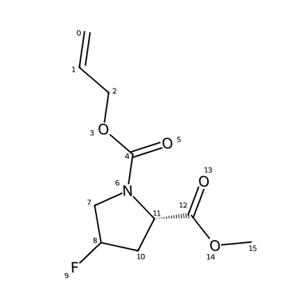 C=CCOC(=O)N1CC(F)C[C@H]1C(=O)OC